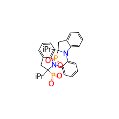 CC(C)C1(P(=O)=O)Cc2ccccc2N1c1ccccc1N1c2ccccc2CC1(C(C)C)P(=O)=O